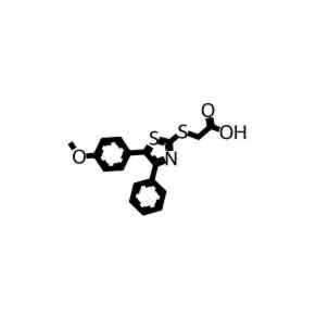 COc1ccc(-c2sc(SCC(=O)O)nc2-c2ccccc2)cc1